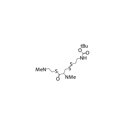 CNCCSC(=O)C(CSSCCNC(=O)OC(C)(C)C)NC